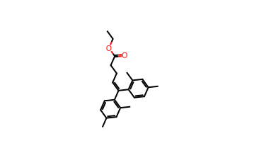 CCOC(=O)CCC=C(c1ccc(C)cc1C)c1ccc(C)cc1C